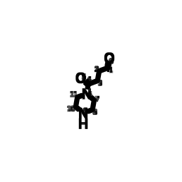 O=[C]CCC(=O)N1CCNCC1